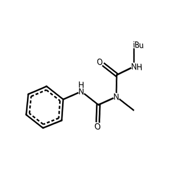 CCC(C)NC(=O)N(C)C(=O)Nc1ccccc1